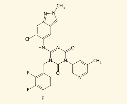 Cc1cncc(-n2c(=O)nc(Nc3cc4cn(C)nc4cc3Cl)n(Cc3ccc(F)c(F)c3F)c2=O)c1